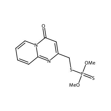 COP(=S)(OC)SCc1cc(=O)n2ccccc2n1